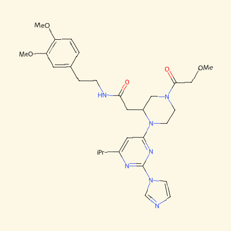 COCC(=O)N1CCN(c2cc(C(C)C)nc(-n3ccnc3)n2)C(CC(=O)NCCc2ccc(OC)c(OC)c2)C1